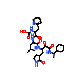 CC(C)CC(NC(=O)C(Cc1ccccn1)NC(=O)O)C(=O)NC(C[C@@H]1CCNC1=O)C(=O)C(=O)NC(C)C1CCCCC1